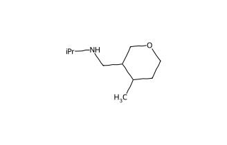 CC(C)NCC1COCCC1C